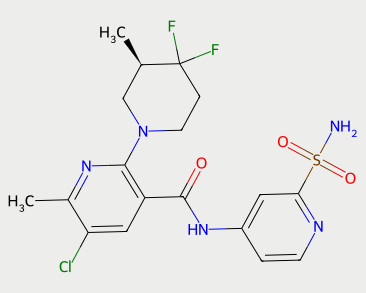 Cc1nc(N2CCC(F)(F)[C@H](C)C2)c(C(=O)Nc2ccnc(S(N)(=O)=O)c2)cc1Cl